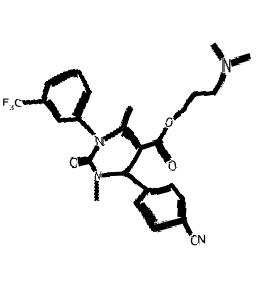 CC1=C(C(=O)OCCCN(C)C)C(c2ccc(C#N)cc2)N(C)C(=O)N1c1cccc(C(F)(F)F)c1